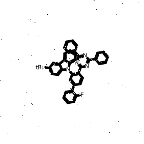 CC(C)(C)c1ccc2c(c1)c1ccccc1n2-c1cc(-c2ccccc2F)ccc1-c1nc(-c2ccccc2)nc(-c2ccccc2)n1